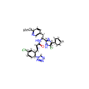 COc1ccc(C[C@H](NC(=O)/C=C/c2cc(Cl)ccc2-n2cnnn2)c2nc(-c3ccc(C)cc3)c(Cl)[nH]2)cn1